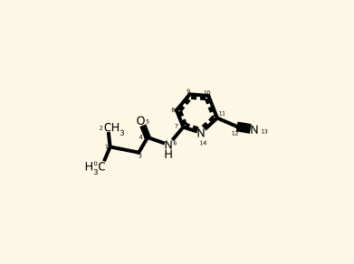 CC(C)CC(=O)Nc1cccc(C#N)n1